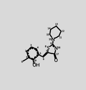 Cc1cccc(/C=C2\SC(N3CCCCC3)=NC2=O)c1O